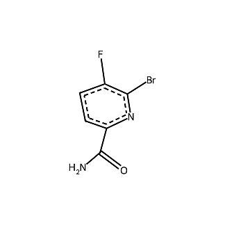 NC(=O)c1ccc(F)c(Br)n1